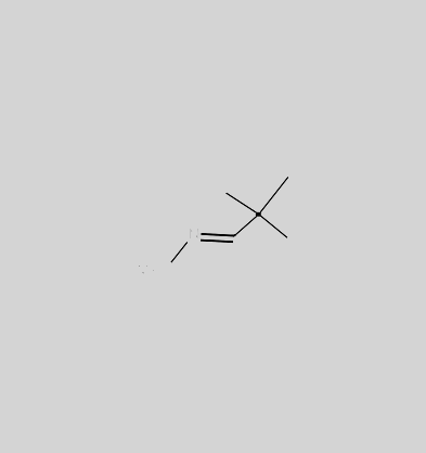 CS/N=C/C(C)(C)C